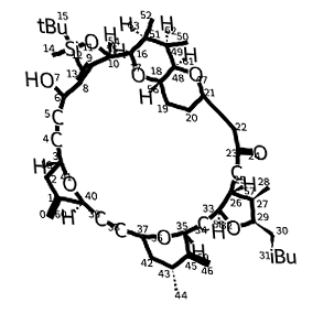 C=C1C[C@@H]2CCC(O)/C=C/[C@H](O[Si](C)(C)C(C)(C)C)[C@@H]3O[C@H]4CCC(CC(=O)C[C@@H]5[C@@H](C)[C@@H](C[C@H](C)CC)O[C@H]5C[C@H]5OC(CC[C@@H]1O2)C[C@@H](C)C5=C)O[C@@H]4[C@H](C)[C@@H]3C